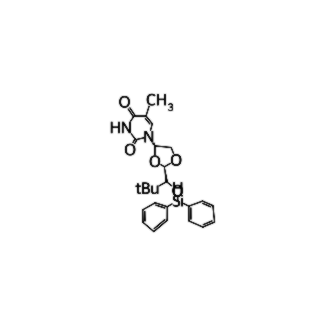 Cc1cn([C@H]2CO[C@@H](C(O[SiH](c3ccccc3)c3ccccc3)C(C)(C)C)O2)c(=O)[nH]c1=O